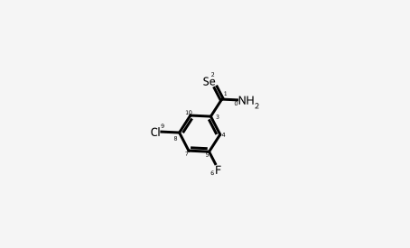 NC(=[Se])c1cc(F)cc(Cl)c1